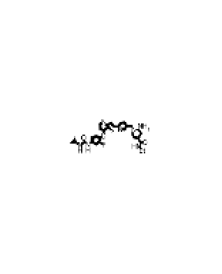 CCNC(=O)C1CCN(Cc2ccc(-c3cc4nccc(Oc5ccc(NC(=O)NC6CC6)cc5F)c4s3)nc2)C(N)C1